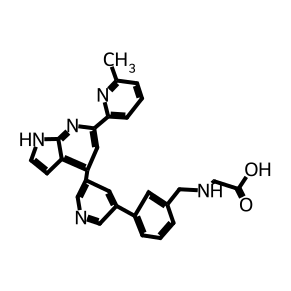 Cc1cccc(-c2cc(-c3cncc(-c4cccc(CNCC(=O)O)c4)c3)c3cc[nH]c3n2)n1